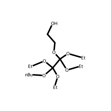 CCCCOC(OCC)(OCC)C(OCC)(OCC)OCCO